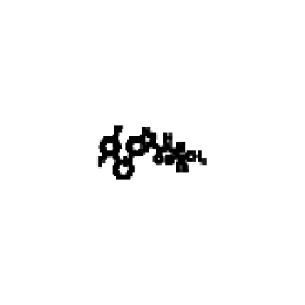 CCN(C)S(=O)(=O)NC(=O)c1cnc2ccc(N3CCCCC3c3cc(F)ccc3F)cn12